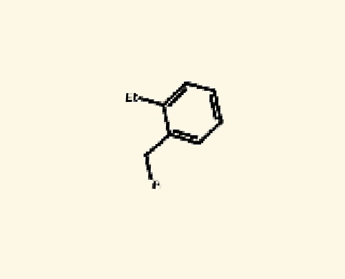 [CH2]Cc1ccccc1CC(C)C